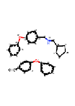 O=Cc1ccc(Oc2ccccc2)cc1.c1ccc(Oc2ccc(CNCC3CCCC3)cc2)cc1